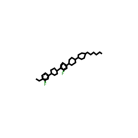 CCCCCCC1CCC(C2CCC(c3ccc(C4CCC(c5ccc(CC)c(F)c5)CC4)c(F)c3)CC2)CC1